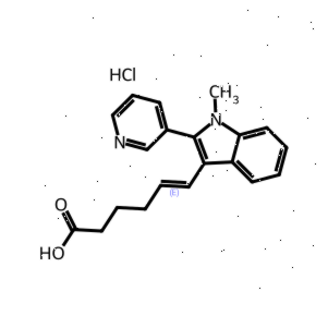 Cl.Cn1c(-c2cccnc2)c(/C=C/CCCC(=O)O)c2ccccc21